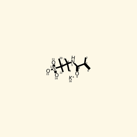 C=C(C)C(=O)NC(C)(C)C(C)(C)S(=O)(=O)[O-].[K+]